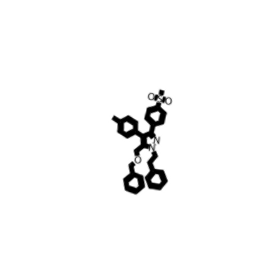 Cc1ccc(-c2c(-c3ccc(S(C)(=O)=O)cc3)nn(CCc3ccccc3)c2COCc2ccccc2)cc1